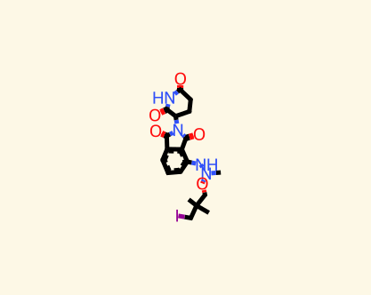 CN(Nc1cccc2c1C(=O)N(C1CCC(=O)NC1=O)C2=O)OCC(C)(C)CI